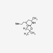 CC(CSCCC#N)NC(=O)OC(C)(C)C